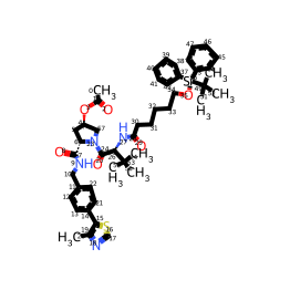 CC(=O)O[C@@H]1C[C@@H](C(=O)NCc2ccc(-c3scnc3C)cc2)N(C(=O)[C@@H](NC(=O)CCCCCO[Si](c2ccccc2)(c2ccccc2)C(C)(C)C)C(C)(C)C)C1